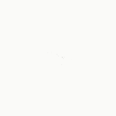 [Al].[CaH2].[MgH2].[Si]